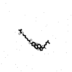 C=C(C)C(=O)OCCCCCC(=O)OC1CC[C@@]2(C)C(=CC[C@H]3[C@@H]4CC[C@H]([C@H](C)CCCC(C)C)[C@@]4(C)CC[C@@H]32)C1